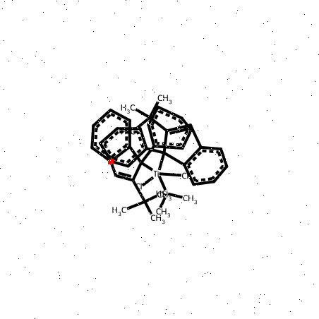 C[SiH](C)[Ti]([Cl])([Cl])([C]1(c2ccccc2)C(C(C)(C)C)=Cc2ccccc21)[C]1(c2ccccc2)C(C(C)(C)C)=Cc2ccccc21